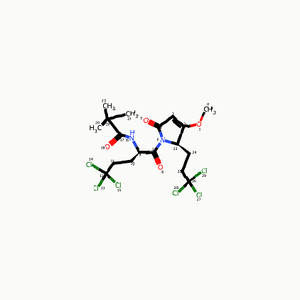 COC1=CC(=O)N(C(=O)[C@@H](CCC(Cl)(Cl)Cl)NC(=O)C(C)(C)C)[C@@H]1CCC(Cl)(Cl)Cl